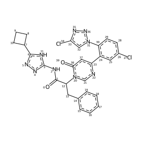 O=C(Nc1nnc(C2CCC2)[nH]1)C(Cc1ccccc1)n1cnc(-c2cc(Cl)ccc2-n2cc(Cl)nn2)cc1=O